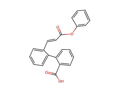 O=C(C=Cc1ccccc1-c1ccccc1C(=O)O)Oc1ccccc1